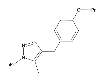 Cc1c(Cc2ccc(OC(C)C)cc2)cnn1C(C)C